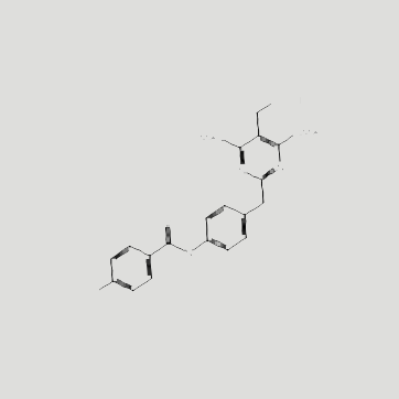 CSc1nc(Cc2ccc(NC(=O)c3ccc(C(F)(F)F)cc3)cc2)nc(SC)c1CC(=O)O